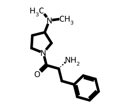 CN(C)C1CCN(C(=O)[C@H](N)Cc2ccccc2)C1